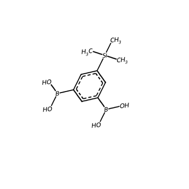 C[Si](C)(C)c1cc(B(O)O)cc(B(O)O)c1